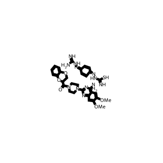 COc1cc2nc(N3CCN(C(=O)C4COc5ccccc5O4)CC3)nc(N)c2cc1OC.N=C(N)NN=C1C=CC(=NNC(=N)S)C=C1